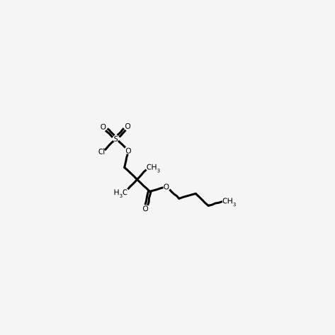 CCCCOC(=O)C(C)(C)COS(=O)(=O)Cl